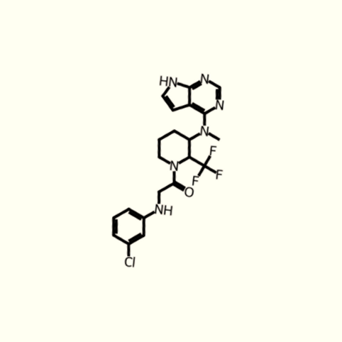 CN(c1ncnc2[nH]ccc12)C1CCCN(C(=O)CNc2cccc(Cl)c2)C1C(F)(F)F